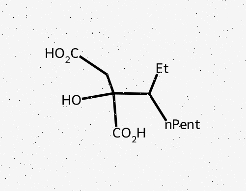 CCCCCC(CC)C(O)(CC(=O)O)C(=O)O